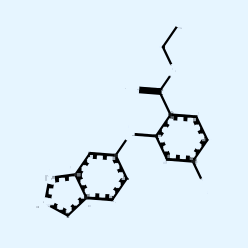 CCNC(=O)c1ccc(F)cc1Sc1ccc2cn[nH]c2c1